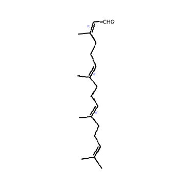 CC(C)=CCC/C(C)=C/CC/C(C)=C/CC/C(C)=C\C=O